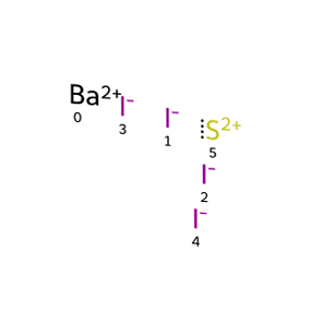 [Ba+2].[I-].[I-].[I-].[I-].[S+2]